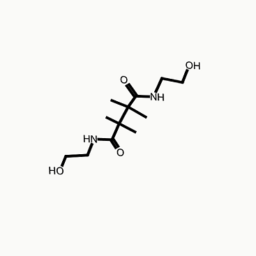 CC(C)(C(=O)NCCO)C(C)(C)C(=O)NCCO